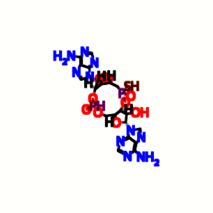 Nc1ncnc2c1ncn2[C@@H]1O[C@@H]2CO[PH](=O)O[C@@H]3[C@H](O)[C@@H](C[P@@](=O)(S)O[C@H]2[C@H]1O)O[C@H]3n1cnc2c(N)ncnc21